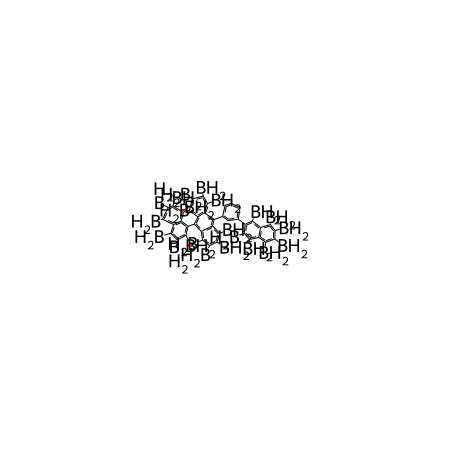 Bc1c(B)c(B)c2c(B)c(-c3cccc(-c4c5c(B)c(B)c(B)c(B)c5c(-c5c(B)c(B)c(B)c6c(B)c(B)c(B)c(B)c56)c5c(B)c(B)c(B)c(B)c45)c3)c(B)c(B)c2c1B